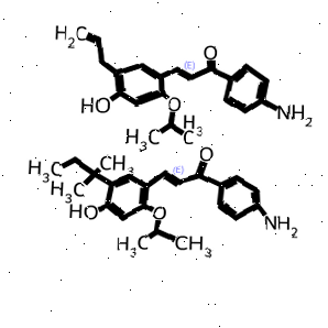 C=CCc1cc(/C=C/C(=O)c2ccc(N)cc2)c(OC(C)C)cc1O.CCC(C)(C)c1cc(/C=C/C(=O)c2ccc(N)cc2)c(OC(C)C)cc1O